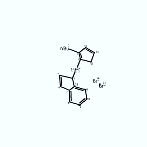 CCCCC1=[C]([Hf+2][CH]2C=Cc3ccccc32)CC=C1.[Br-].[Br-]